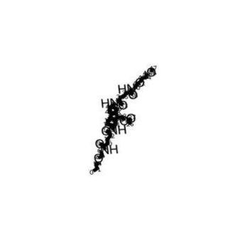 CCCCOCCNC(=O)CCCC(=O)Nc1ccc2c(c1)C(COC(C)=O)c1cc(NC(=O)CCCC(=O)NCCOCCCOC)ccc1-2